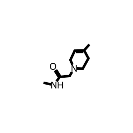 CNC(=O)CN1CC=C(C)CC1